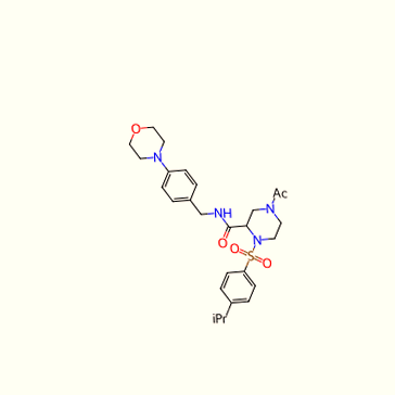 CC(=O)N1CCN(S(=O)(=O)c2ccc(C(C)C)cc2)C(C(=O)NCc2ccc(N3CCOCC3)cc2)C1